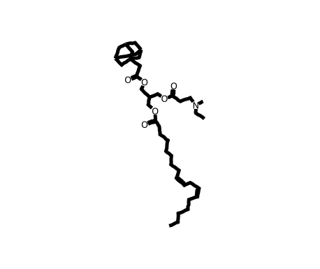 CCCCC/C=C\C/C=C\CCCCCCCC(=O)OCC(COC(=O)CCN(C)CC)COC(=O)CC12CC3CC(CC(C3)C1)C2